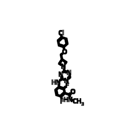 CNC(=O)c1c(F)ccc(Nc2ncnc(N3CC(COc4ccc(Cl)cc4)C3)n2)c1F